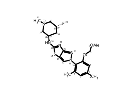 COCOc1cc(C)cc(C)c1-n1cc2sc(N[C@@H]3C[C@@H](F)CN(C)C3)nc2n1